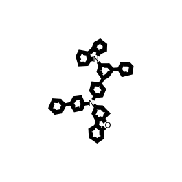 c1ccc(-c2ccc(N(c3ccc(-c4cc(-c5ccccc5)cc(-n5c6ccccc6c6ccccc65)c4)cc3)c3ccc4oc5ccccc5c4c3)cc2)cc1